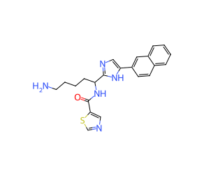 NCCCCC(NC(=O)c1cncs1)c1ncc(-c2ccc3ccccc3c2)[nH]1